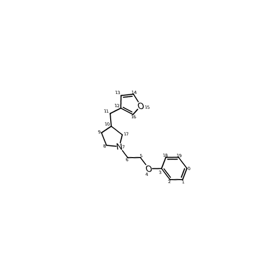 c1ccc(OCCN2CCC(Cc3ccoc3)C2)cc1